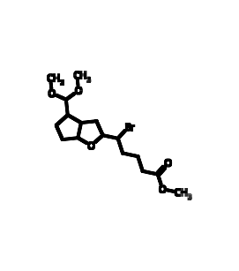 COC(=O)CCCC(Br)C1CC2C(CCC2C(OC)OC)O1